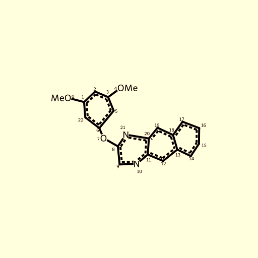 COc1cc(OC)cc(Oc2cnc3cc4ccccc4cc3n2)c1